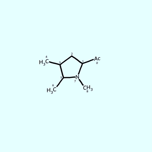 CC(=O)C1CC(C)C(C)N1C